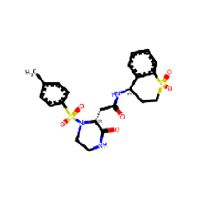 Cc1ccc(S(=O)(=O)N2CCNC(=O)[C@H]2CC(=O)N[C@@H]2CCS(=O)(=O)c3ccccc32)cc1